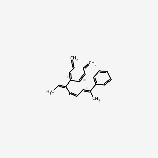 C=C\C=C/C(=C\C=C)C(=C/C)/N=C\C=C(/C)c1ccccc1